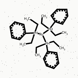 CC[PH](CC)(c1ccccc1)[Ru]([PH](CC)(CC)c1ccccc1)[PH](CC)(CC)c1ccccc1